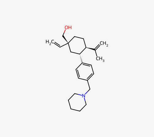 C=C[C@]1(CO)CC[C@@H](C(=C)C)[C@H](c2ccc(CN3CCCCC3)cc2)C1